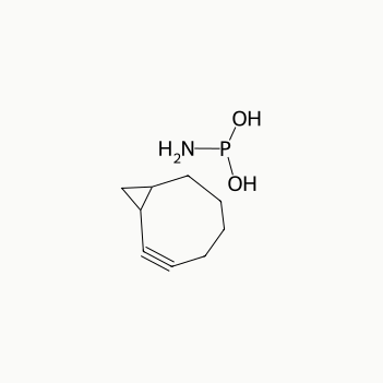 C1#CC2CC2CCCC1.NP(O)O